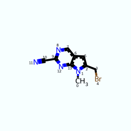 Cn1c(CBr)cc2cnc(C#N)nc21